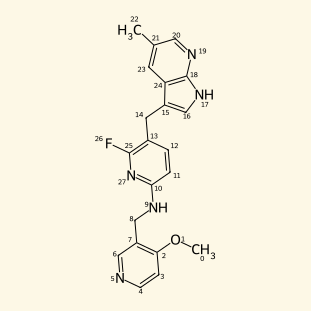 COc1ccncc1CNc1ccc(Cc2c[nH]c3ncc(C)cc23)c(F)n1